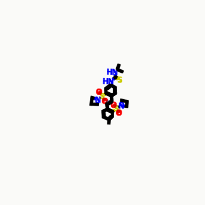 Cc1ccc(/C=C/c2ccc(NC(=S)NC(C)C)cc2S(=O)(=O)N2CCC2)c(S(=O)(=O)N2CCC2)c1